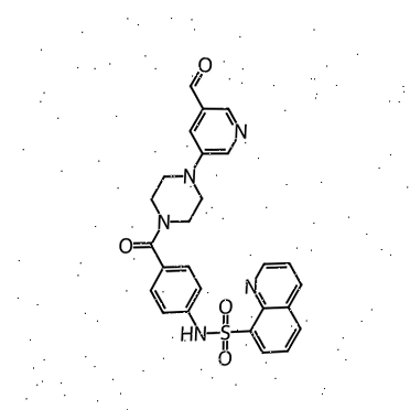 O=Cc1cncc(N2CCN(C(=O)c3ccc(NS(=O)(=O)c4cccc5cccnc45)cc3)CC2)c1